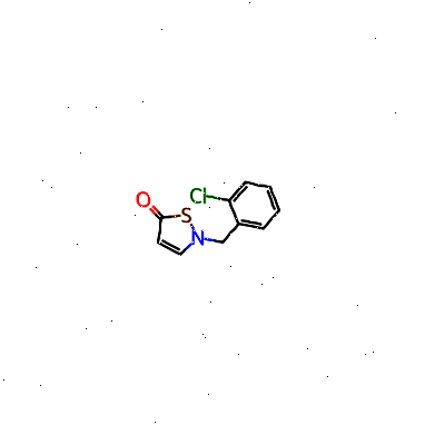 O=c1ccn(Cc2ccccc2Cl)s1